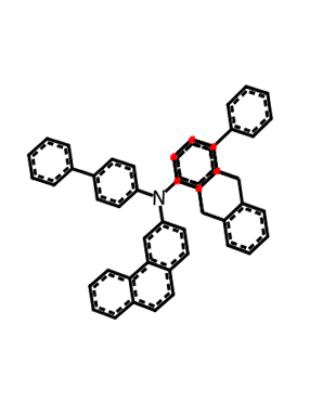 c1ccc(-c2ccc(N(c3ccc4ccc5ccccc5c4c3)c3ccc(-c4ccccc4)c4c3C3c5ccccc5C4c4ccccc43)cc2)cc1